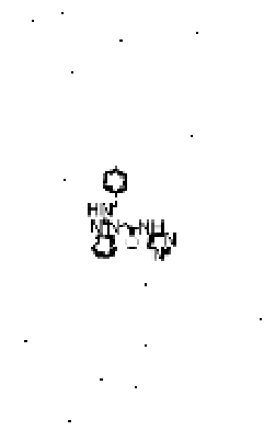 O=C(Cn1c(NCc2ccccc2)nc2ccccc21)Nc1cncnc1